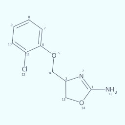 NC1=NC(COc2ccccc2Cl)CO1